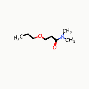 CCCOCCC(=O)N(C)C